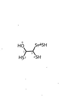 OC(S)C(S)SS